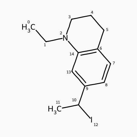 CCN1CCCc2ccc(C(C)I)cc21